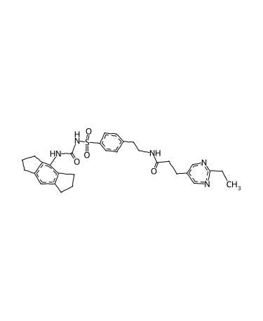 CCc1ncc(CCC(=O)NCCc2ccc(S(=O)(=O)NC(=O)Nc3c4c(cc5c3CCC5)CCC4)cc2)cn1